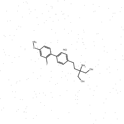 CCCCOc1ccc(-c2ccc(CCC(N)(CO)CO)cc2)c(F)c1.Cl